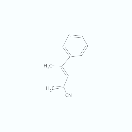 C=C(C#N)C=C(C)c1ccccc1